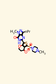 CCCc1nn(C)c2c(=O)[nH]c(-c3sc(S(=O)(=O)N4CCN(C)CC4)c4c3OCCC4=O)nc12